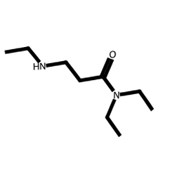 CCNCCC(=O)N(CC)CC